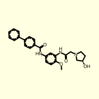 COc1ccc(NC(=O)c2ccc(-c3ccccc3)cc2)cc1NC(=O)CN1CC[C@@H](O)C1